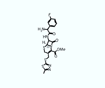 COC(=O)C1=C(CSc2nnc(C)s2)CS[C@H]2C(NC(=O)C(N)c3cccc(F)c3)C(=O)N12